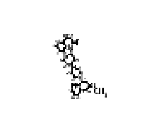 COc1cc(N2CCN(C3CCN(c4cccc5ccc(F)nc45)CC3)CC2)c2ncccc2c1